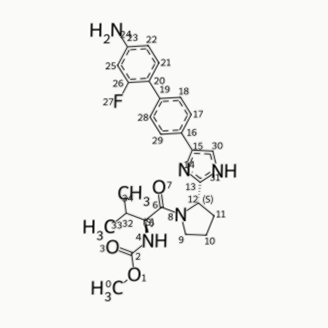 COC(=O)N[C@H](C(=O)N1CCC[C@H]1c1nc(-c2ccc(-c3ccc(N)cc3F)cc2)c[nH]1)C(C)C